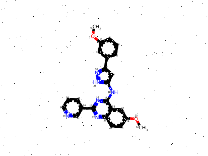 COc1cccc(-c2cc(Nc3nc(-c4cccnc4)nc4ccc(OC)cc34)[nH]n2)c1